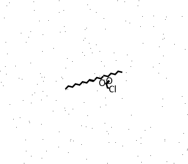 CCCCCCCC=CCC(CCCCCC)OC(=O)CCl